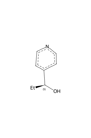 CC[C@H](O)c1ccncc1